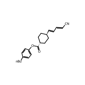 CCCCc1ccc(OC(=O)[C@H]2CC[C@H](C=CC=CC#N)CC2)cc1